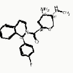 CN[C@@H]1CO[C@@H](C(=O)N2CCc3ccccc3[C@@H]2c2ccc(F)cc2)C[C@@H]1N